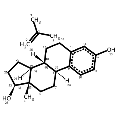 C=C(C)C.C[C@]12CC[C@@H]3c4ccc(O)cc4CC[C@H]3[C@@H]1CC[C@@H]2O